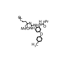 CCCC(=O)Nc1cc(Oc2ccc(C)cc2)ccc1NC(=NC(=O)CC=C=O)NOC